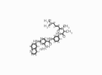 CCCNc1nc(Nc2ccc3nnccc3c2)ncc1C(=O)Nc1cccc(NC(=O)[C@H](C)N(C)C(=O)C=CCN(C)C)c1